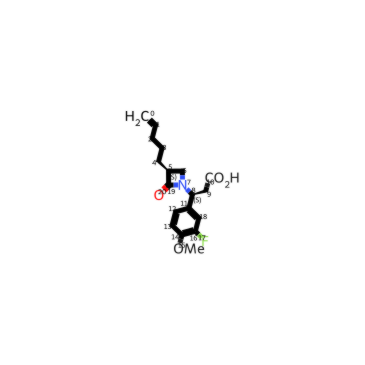 C=CCCC[C@H]1CN([C@@H](CC(=O)O)c2ccc(OC)c(F)c2)C1=O